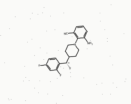 N#Cc1cccc(N)c1N1CCC([C@H](F)c2ccc(F)cc2F)CC1